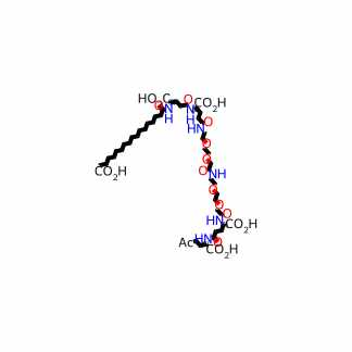 CC(=O)CC[C@H](NC(=O)CC[C@H](NC(=O)COCCOCCNC(=O)COCCOCCNC(=O)CC[C@H](NC(=O)CC[C@H](NC(=O)CCCCCCCCCCCCCCCCC(=O)O)C(=O)O)C(=O)O)C(=O)O)C(=O)O